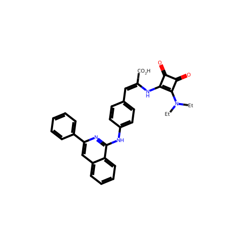 CCN(CC)c1c(NC(=Cc2ccc(Nc3nc(-c4ccccc4)cc4ccccc34)cc2)C(=O)O)c(=O)c1=O